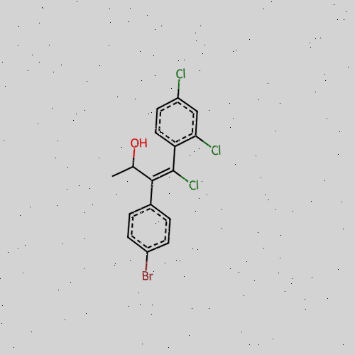 CC(O)C(=C(Cl)c1ccc(Cl)cc1Cl)c1ccc(Br)cc1